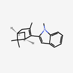 CC1=C(c2cc3ccccc3n2C)[C@@H]2C[C@H](C1)C2(C)C